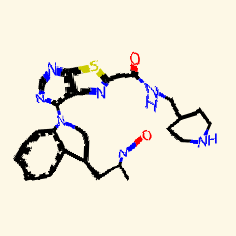 CC(CC1CN(c2ncnc3sc(C(=O)NCC4CCNCC4)nc23)c2ccccc21)N=O